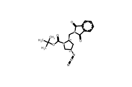 CC(C)(C)OC(=O)N1C[C@H](N=[N+]=[N-])C[C@@H]1CN1C(=O)c2ccccc2C1=O